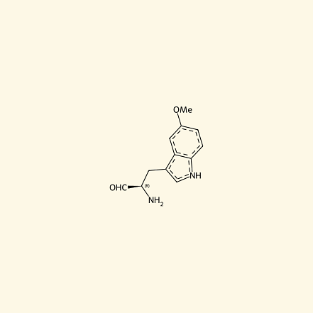 COc1ccc2[nH]cc(C[C@@H](N)C=O)c2c1